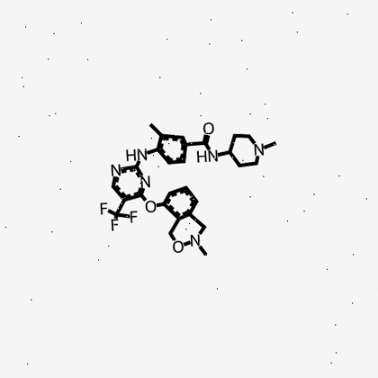 Cc1cc(C(=O)NC2CCN(C)CC2)ccc1Nc1ncc(C(F)(F)F)c(Oc2cccc3c2CON(C)C3)n1